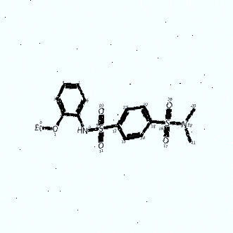 CCOc1ccccc1NS(=O)(=O)c1ccc(S(=O)(=O)N(C)C)cc1